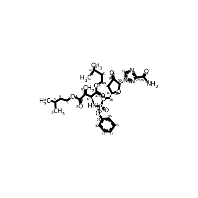 C=C(C(=O)OCCC(C)C)[C@H](NP(=O)(OC[C@@H]1CC(=O)[C@H](n2cnc(C(N)=O)n2)O1)Oc1ccccc1)C(=O)OCCC(C)C